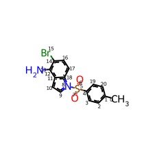 Cc1ccc(S(=O)(=O)n2ccc3c(N)c(Br)ccc32)cc1